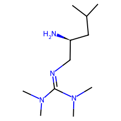 CC(C)C[C@H](N)CN=C(N(C)C)N(C)C